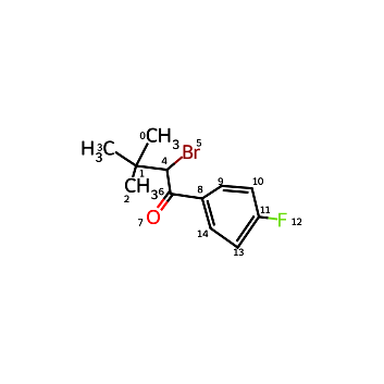 CC(C)(C)C(Br)C(=O)c1ccc(F)cc1